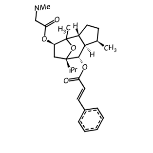 CNCC(=O)O[C@@H]1C[C@]2(C(C)C)OC1(C)[C@@H]1CC[C@@H](C)[C@H]1[C@@H]2OC(=O)/C=C/c1ccccc1